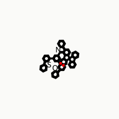 c1ccc2c(c1)-c1ccccc1C21c2ccccc2-c2c1ccc1c2c(-c2cc(-c3cccc4c3oc3ccccc34)cc(-c3cccc4c3sc3ccccc34)c2)nc2ccccc21